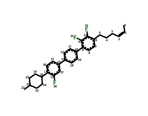 C/C=C\CCCc1ccc(-c2ccc(-c3ccc(C4CCC(C)CC4)c(F)c3)cc2)c(F)c1F